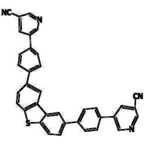 N#Cc1cncc(-c2ccc(-c3ccc4sc5ccc(-c6ccc(-c7cncc(C#N)c7)cc6)cc5c4c3)cc2)c1